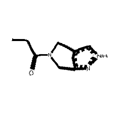 CCC(=O)N1Cc2c[nH]nc2C1